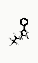 Cn1nc(-c2ccccc2)cc1NC(=O)C(F)(F)F